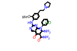 COc1cc(CCN2CCCC2)ccc1Nc1ncc2c(=O)c(C(N)=O)c(N)n(-c3ccccc3)c2n1.Cl